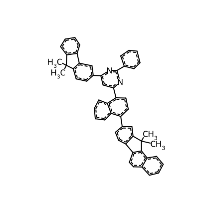 CC1(C)c2ccccc2-c2cc(-c3cc(-c4ccc(-c5ccc6c(c5)C(C)(C)c5c-6ccc6ccccc56)c5ccccc45)nc(-c4ccccc4)n3)ccc21